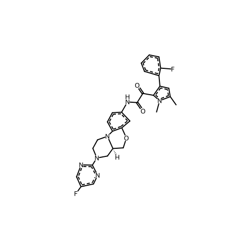 Cc1cc(-c2ccccc2F)c(C(=O)C(=O)Nc2ccc3c(c2)OC[C@H]2CN(c4ncc(F)cn4)CCN32)n1C